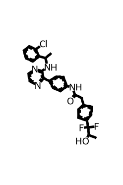 CC(Nc1nccnc1-c1ccc(NC(=O)Cc2ccc(C(F)(F)C(C)O)cc2)cc1)c1ccccc1Cl